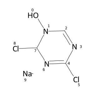 ON1C=NC(Cl)=NC1Cl.[Na]